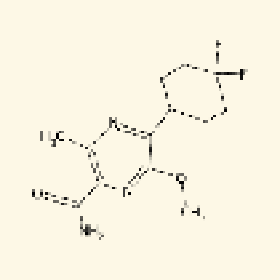 COc1nc(C(N)=O)c(C)nc1C1CCC(F)(F)CC1